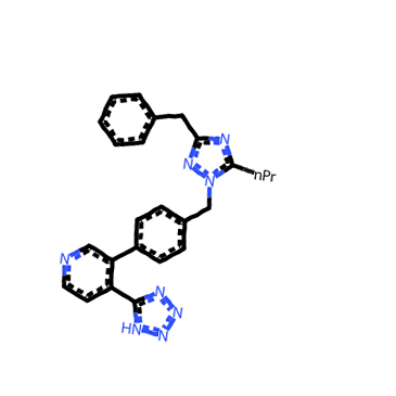 CCCc1nc(Cc2ccccc2)nn1Cc1ccc(-c2cnccc2-c2nnn[nH]2)cc1